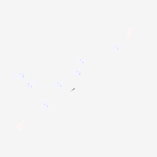 C=CC(=O)N1CCC(n2nc(N3CCN(CCOC)C[C@@]3(C)C(F)F)c(-c3c(Cl)c(C)cc4[nH]ncc34)c2C)CC1